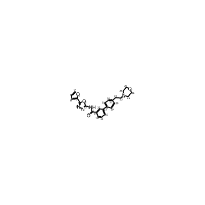 O=C(Nc1nnc(-c2ccco2)o1)c1cccc(-c2ccc(CCN3CCOCC3)cc2)c1